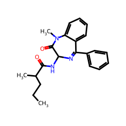 CCCC(C)C(=O)NC1N=C(c2ccccc2)c2ccccc2N(C)C1=O